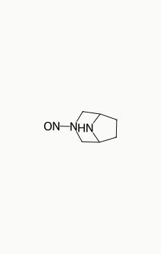 O=NN1CC2CCC(C1)N2